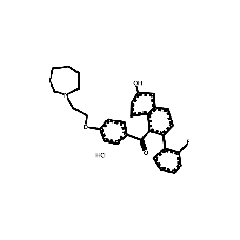 Cl.O=C(c1ccc(OCCN2CCCCCC2)cc1)c1c(-c2ccccc2F)ccc2cc(O)ccc12